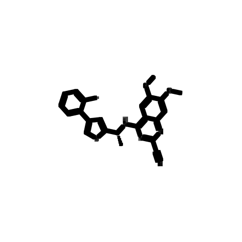 [CH2]c1ccccc1-c1csc([C@@H](C)Nc2nc(C#N)nc3cc(OC)c(OC)cc23)c1